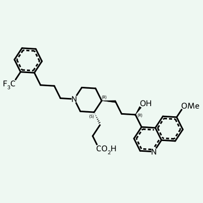 COc1ccc2nccc([C@H](O)CC[C@@H]3CCN(CCCc4ccccc4C(F)(F)F)C[C@H]3CCC(=O)O)c2c1